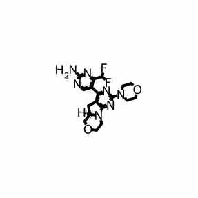 Nc1ncc(-c2nc(N3CCOCC3)nc3c2C[C@@H]2COCCN32)c(C(F)F)n1